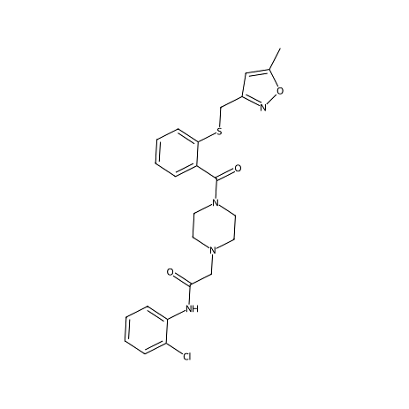 Cc1cc(CSc2ccccc2C(=O)N2CCN(CC(=O)Nc3ccccc3Cl)CC2)no1